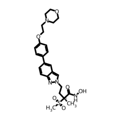 C[C@@](CCn1cc2cc(-c3ccc(OCCN4CCOCC4)cc3)ccc2n1)(C(=O)NO)S(C)(=O)=O